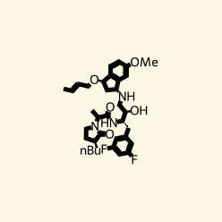 CC=CCO[C@@H]1C[C@H](NC[C@@H](O)[C@H](Cc2cc(F)cc(F)c2)NC(=O)C(C)N2CC[C@H](CCCC)C2=O)c2cc(OC)ccc21